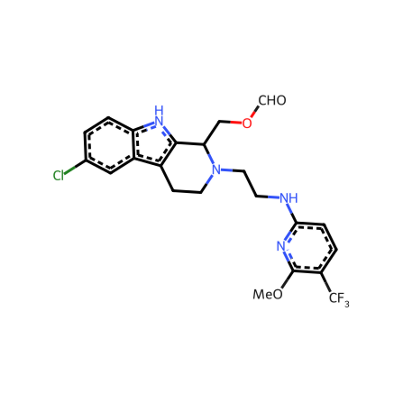 COc1nc(NCCN2CCc3c([nH]c4ccc(Cl)cc34)C2COC=O)ccc1C(F)(F)F